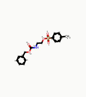 Cc1ccc(S(=O)(=O)OCCNC(=O)OCc2ccccc2)cc1